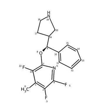 Cc1c(F)c(F)nc(O[C@H](c2ccccc2)C2CCNC2)c1F